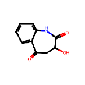 O=C1CC(O)C(=O)Nc2ccccc21